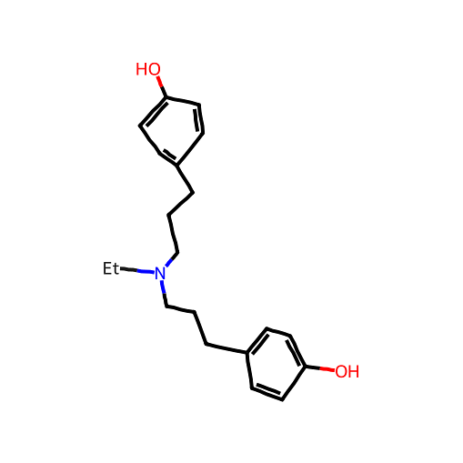 CCN(CCCc1ccc(O)cc1)CCCc1ccc(O)cc1